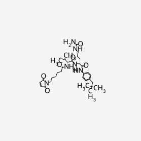 CC(C)[C@@H](NC(=O)CCCCCN1C(=O)C=CC1=O)C(=O)N[C@H](CCCNC(N)=O)C(=O)Nc1ccc(CC(C)(C)C)cc1